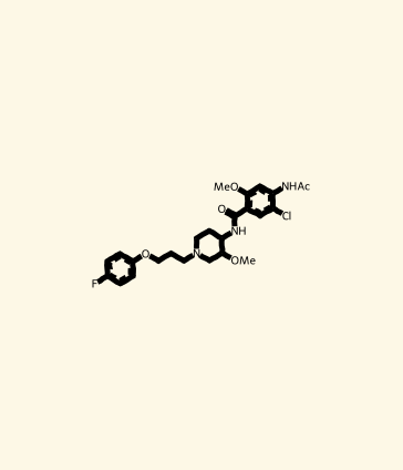 COc1cc(NC(C)=O)c(Cl)cc1C(=O)NC1CCN(CCCOc2ccc(F)cc2)CC1OC